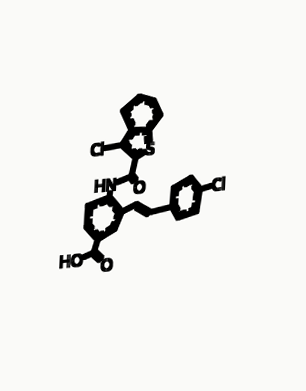 O=C(O)c1ccc(NC(=O)c2sc3ccccc3c2Cl)c(/C=C/c2ccc(Cl)cc2)c1